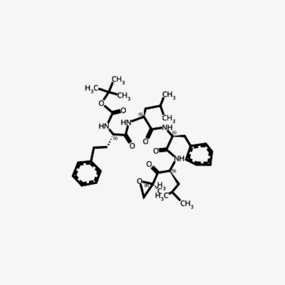 CC(C)C[C@H](NC(=O)[C@H](CCc1ccccc1)NC(=O)OC(C)(C)C)C(=O)N[C@@H](Cc1ccccc1)C(=O)N[C@@H](CC(C)C)C(=O)[C@@]1(C)CO1